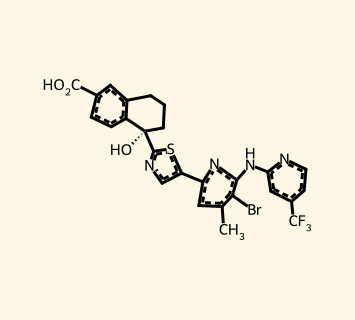 Cc1cc(-c2cnc([C@]3(O)CCCc4cc(C(=O)O)ccc43)s2)nc(Nc2cc(C(F)(F)F)ccn2)c1Br